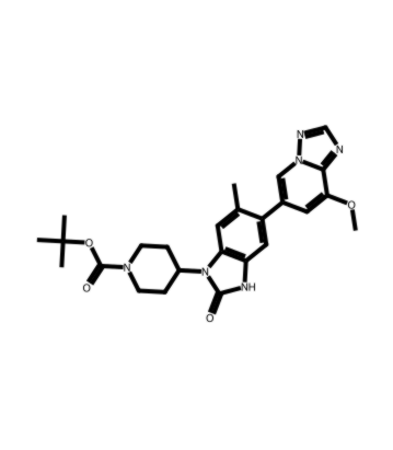 COc1cc(-c2cc3[nH]c(=O)n(C4CCN(C(=O)OC(C)(C)C)CC4)c3cc2C)cn2ncnc12